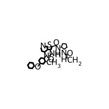 C=CC(=O)N[C@@H]1CCC[C@H]1NC(=O)c1sc2nccc3c2c1NC(=O)N3c1ccc(Oc2ccccc2)cc1C